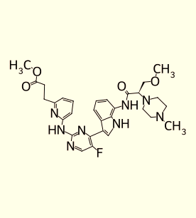 COC[C@H](C(=O)Nc1cccc2c(-c3nc(Nc4cccc(CCC(=O)OC)n4)ncc3F)c[nH]c12)N1CCN(C)CC1